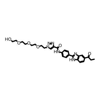 CCC(=O)c1ccc2[nH]c(-c3ccc(NC(=O)c4cn(CCOCCOCCOCCO)nn4)cc3)nc2c1